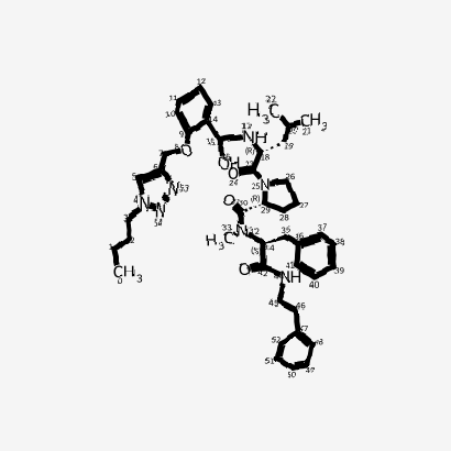 CCCCn1cc(COc2ccccc2C(O)N[C@H](CC(C)C)C(=O)N2CCC[C@@H]2C(=O)N(C)[C@@H](Cc2ccccc2)C(=O)NCCc2ccccc2)nn1